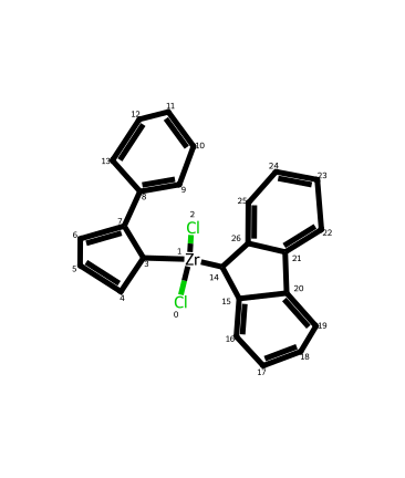 [Cl][Zr]([Cl])([CH]1C=CC=C1c1ccccc1)[CH]1c2ccccc2-c2ccccc21